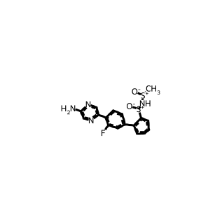 C[S+]([O-])N[S+]([O-])c1ccccc1-c1ccc(-c2cnc(N)cn2)c(F)c1